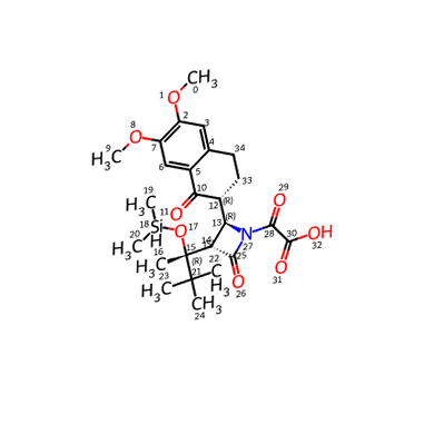 COc1cc2c(cc1OC)C(=O)[C@@H]([C@@H]1[C@@H]([C@@](C)(O[SiH](C)C)C(C)(C)C)C(=O)N1C(=O)C(=O)O)CC2